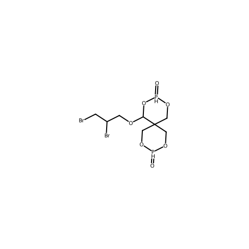 O=[PH]1OCC2(CO1)CO[PH](=O)OC2OCC(Br)CBr